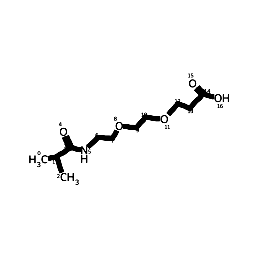 CC(C)C(=O)NCCOCCOCCC(=O)O